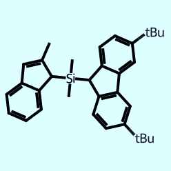 CC1=Cc2ccccc2C1[Si](C)(C)C1c2ccc(C(C)(C)C)cc2-c2cc(C(C)(C)C)ccc21